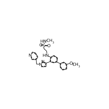 CNS(=O)(=O)CCNc1ccc(-c2cccc(OC)c2)cc1-c1ccn(Cc2cccnc2)n1